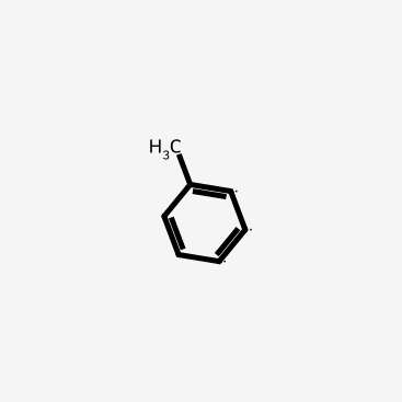 Cc1[c][c][c]cc1